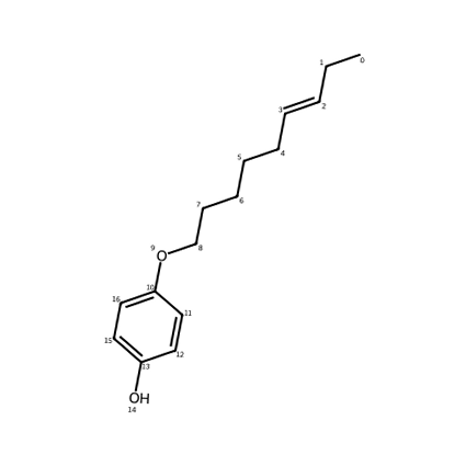 CCC=CCCCCCOc1ccc(O)cc1